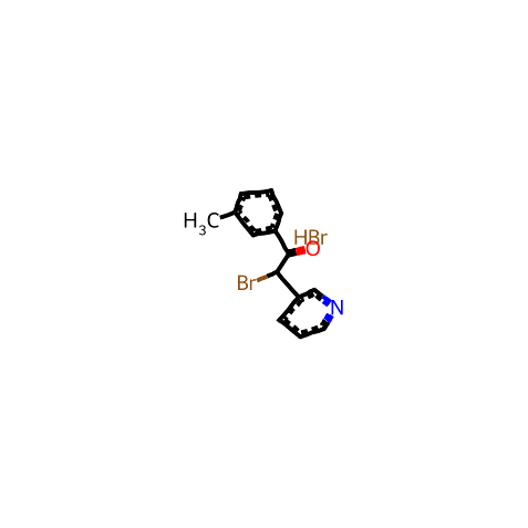 Br.Cc1cccc(C(=O)C(Br)c2cccnc2)c1